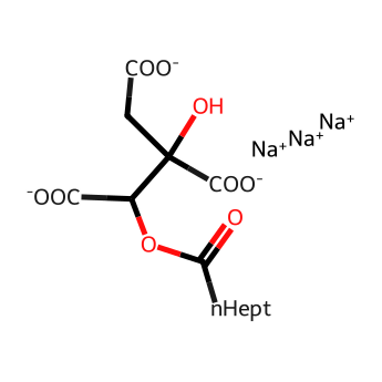 CCCCCCCC(=O)OC(C(=O)[O-])C(O)(CC(=O)[O-])C(=O)[O-].[Na+].[Na+].[Na+]